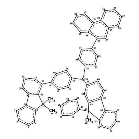 CC1(C)c2ccccc2-c2cccc(-c3ccc(N(c4ccc(-c5cc6ccccc6c6ccccc56)cc4)c4ccc5c(c4)C(C)(c4ccccc4)c4ccccc4-5)cc3)c21